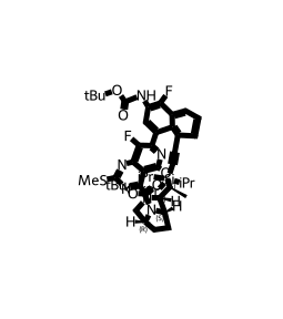 CSc1nc2c3c(nc(-c4cc(NC(=O)OC(C)(C)C)c(F)c5cccc(C#C[Si](C(C)C)(C(C)C)C(C)C)c45)c(F)c3n1)O[C@@H](C)[C@@H]1[C@@H]3CC[C@H](CN21)N3C(=O)OC(C)(C)C